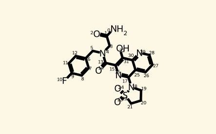 NC(=O)CN(Cc1ccc(F)cc1)C(=O)c1nc(N2CCCS2(=O)=O)c2cccnc2c1O